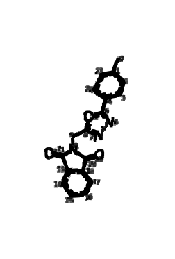 Cc1ccc(-c2nnc(CN3C(=O)c4ccccc4C3=O)o2)cc1